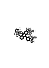 N=c1ccc2c(-c3cccc(C(=O)ON4C(=O)CCC4=O)c3C(=O)O)c3ccc(N)c(S(=O)(=O)O)c3oc-2c1S(=O)(=O)O